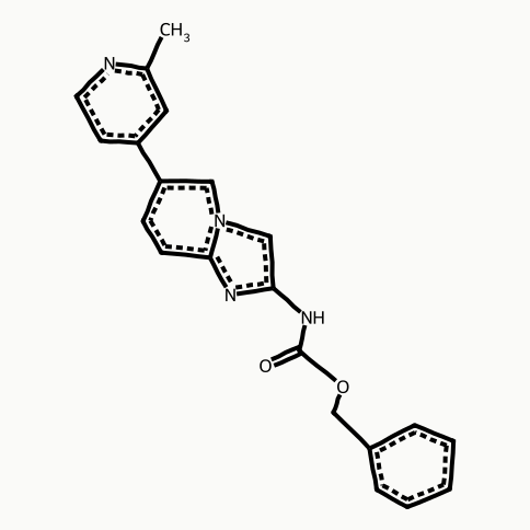 Cc1cc(-c2ccc3nc(NC(=O)OCc4ccccc4)cn3c2)ccn1